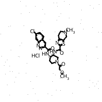 COCC(=O)N1CC[C@H](NC(=O)c2cc3ccc(Cl)cc3nn2)[C@@H](NC(=O)c2nc3c(s2)CN(C)CC3)C1.Cl